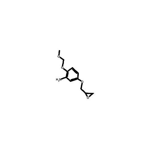 COCOc1ccc(OCC2CO2)cc1N